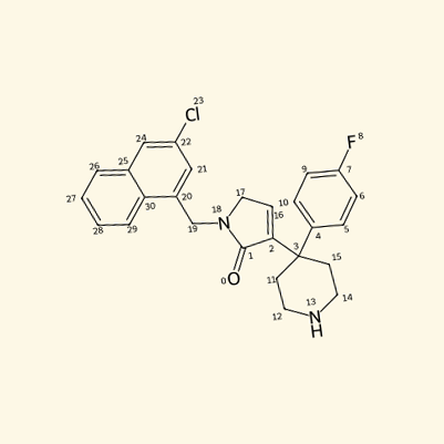 O=C1C(C2(c3ccc(F)cc3)CCNCC2)=CCN1Cc1cc(Cl)cc2ccccc12